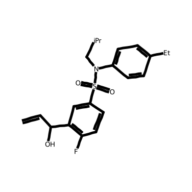 C=CC(O)c1cc(S(=O)(=O)N(CC(C)C)c2ccc(CC)cc2)ccc1F